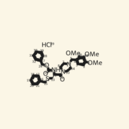 COc1ccc(CN2CCN(C(=O)[C@H](CSCc3ccccc3)NC(=O)OCc3ccccc3)CC2)c(OC)c1OC.Cl